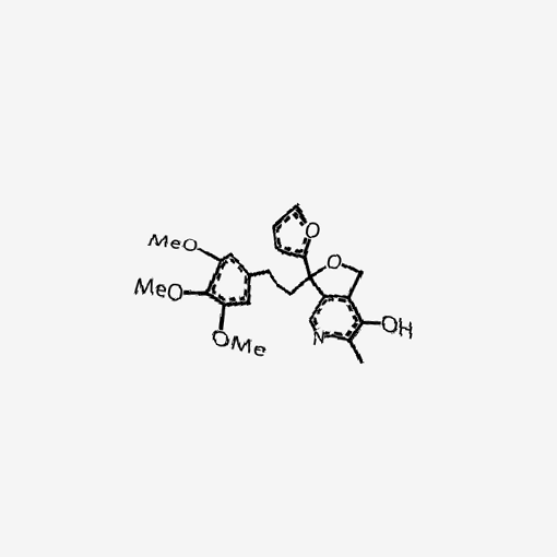 COc1cc(CCC2(c3ccco3)OCc3c2cnc(C)c3O)cc(OC)c1OC